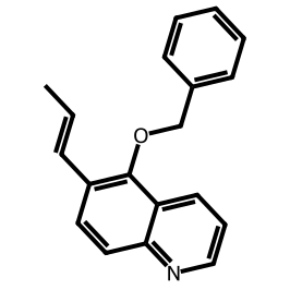 CC=Cc1ccc2ncccc2c1OCc1ccccc1